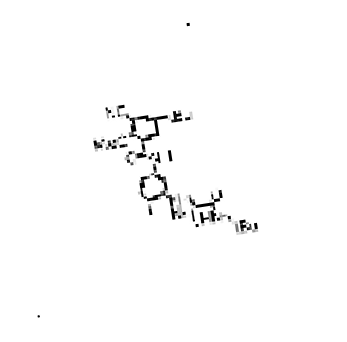 COc1c(C#N)cc(C(C)(C)C)cc1C(=O)Nc1ccc(C)c(-n2cc(C(=O)NCC(C)(C)C)nn2)c1